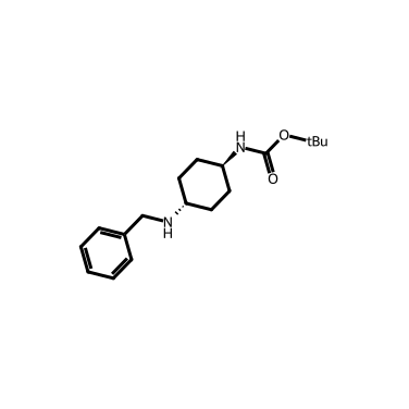 CC(C)(C)OC(=O)N[C@H]1CC[C@H](NCc2ccccc2)CC1